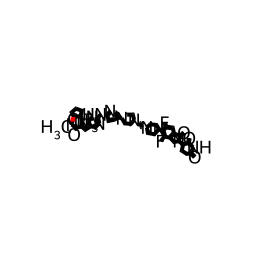 CN(C)C(=O)c1cc2cnc(Nc3ccc(N4CCN(CCN5CCN(c6c(F)cc7c(c6F)CN(C6CCC(=O)NC6=O)C7=O)CC5)CC4)cn3)nc2n1C1CCCC1